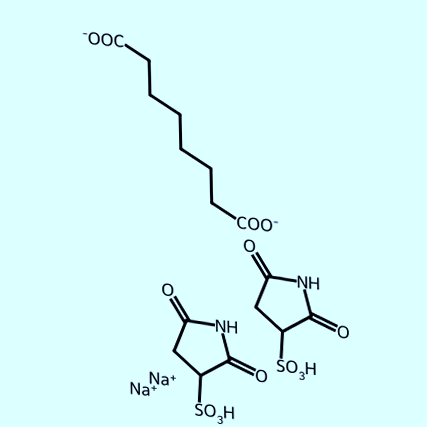 O=C([O-])CCCCCCC(=O)[O-].O=C1CC(S(=O)(=O)O)C(=O)N1.O=C1CC(S(=O)(=O)O)C(=O)N1.[Na+].[Na+]